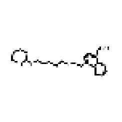 CCCCCCCCC12C=CC(CCCCCCCCOC3CCCCO3)(O1)c1ccccc12